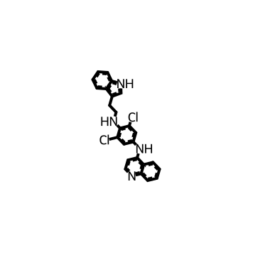 Clc1cc(Nc2ccnc3ccccc23)cc(Cl)c1NCCc1c[nH]c2ccccc12